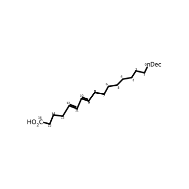 CCCCCCCCCCCCCCCCCC/C=C/C=C/CCCC(=O)O